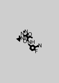 Cc1oc2ncnc(NC3(C)CC3)c2c1C(=O)NCc1ccc(F)c(C#N)c1